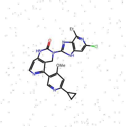 CCc1nc(Cl)cc2[nH]c(N3Cc4c(ccnc4-c4cnc(C5CC5)cc4OC)NC3=O)nc12